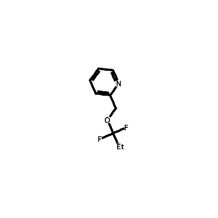 CCC(F)(F)OCc1ccccn1